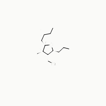 CCC[C@@H]1O[C@H](C[C@H](C)CC)[C@H](C)[C@H]1CBr